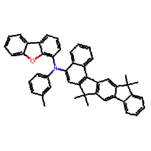 Cc1cccc(N(c2cc3c(c4ccccc24)-c2cc4c(cc2C3(C)C)-c2ccccc2C4(C)C)c2cccc3c2oc2ccccc23)c1